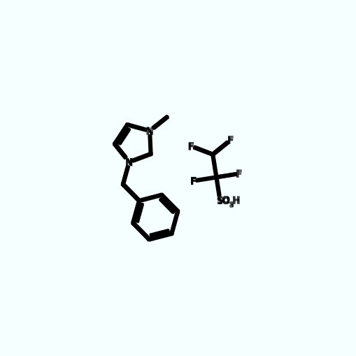 CN1C=CN(Cc2ccccc2)C1.O=S(=O)(O)C(F)(F)C(F)F